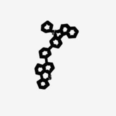 c1ccc(-n2c3cc(-c4cccc(-c5ccc6c7c(cccc57)-c5ccccc5S6)c4)ccc3c3c4ccccc4ccc32)cc1